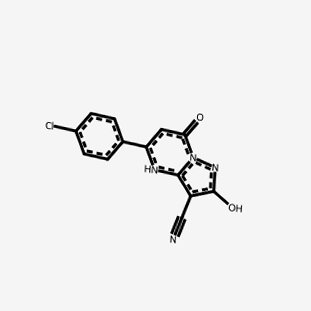 N#Cc1c(O)nn2c(=O)cc(-c3ccc(Cl)cc3)[nH]c12